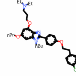 CCCCn1c(-c2ccc(OCCc3ccc(Cl)cc3)cc2)nc2c(OCCCN(CC)CC)cc(OCCC)cc21